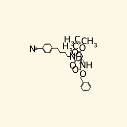 CC(C)(C)OC(=O)C[C@@H](NC(=O)OCc1ccccc1)C(=O)NCCCCc1ccc(C#N)cc1